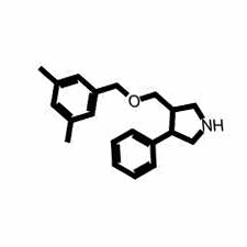 Cc1cc(C)cc(COCC2CNCC2c2ccccc2)c1